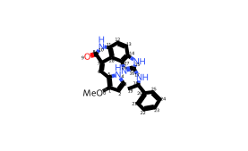 COc1cc[nH]c1/C=C1/C(=O)Nc2ccc3[nH]c(NC(C)c4ccccc4)nc3c21